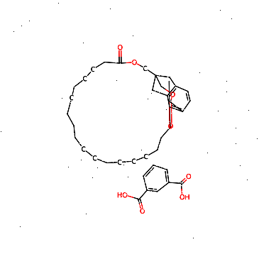 O=C(O)c1cccc(C(=O)O)c1.O=C1CCCCCCCCCCCCCCCCCc2c3ccc4c2CC(CO1)(COC3=O)C4